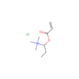 C=CC(=O)OC(CC)[N+](C)(C)C.[Cl-]